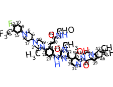 C[C@H]1CN(C2CCN(c3ccc(F)c(C(F)(F)F)c3)CC2)CCN1c1ccc(Nc2nc(-c3ccnc(N4CCn5c(cc6c5CC(C)(C)C6)C4=O)c3CO)cn(C)c2=O)cc1C=CC(=O)NC=O